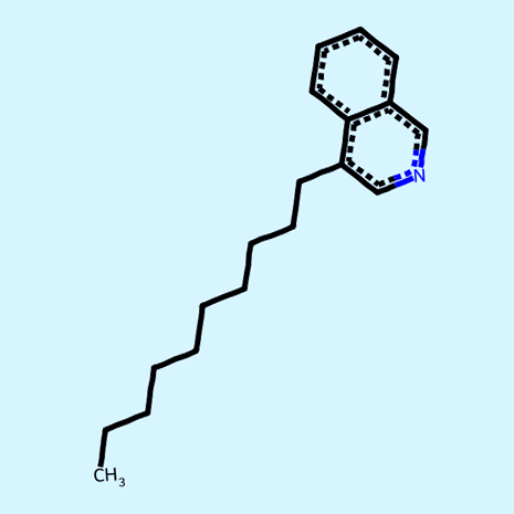 CCCCCCCCCCc1cncc2ccccc12